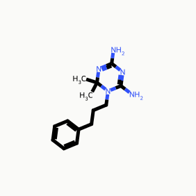 CC1(C)N=C(N)N=C(N)N1CCCc1ccccc1